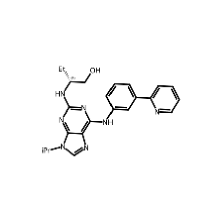 CC[C@H](CO)Nc1nc(Nc2cccc(-c3ccccn3)c2)c2ncn(C(C)C)c2n1